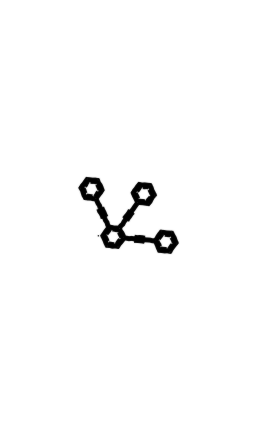 C(#Cc1[c]ccc(C#Cc2ccccc2)c1C#Cc1ccccc1)c1ccccc1